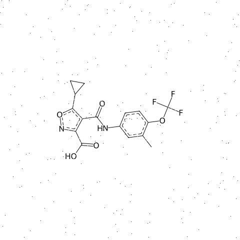 Cc1cc(NC(=O)c2c(C(=O)O)noc2C2CC2)ccc1OC(F)(F)F